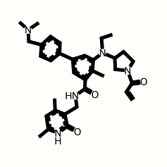 C=CC(=O)N1CCC(N(CC)c2cc(-c3ccc(CN(C)C)cc3)cc(C(=O)NCc3c(C)cc(C)[nH]c3=O)c2C)C1